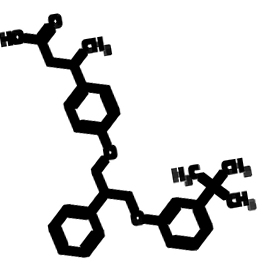 CC(CC(=O)O)c1ccc(OCC(COc2cccc(C(C)(C)C)c2)c2ccccc2)cc1